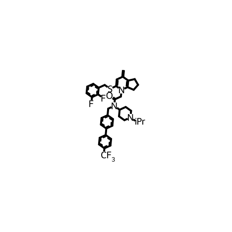 C=C1C=C(SCc2cccc(F)c2F)N(CC(=O)N(Cc2ccc(-c3ccc(C(F)(F)F)cc3)cc2)C2CCN(C(C)C)CC2)C2=C1CCC2